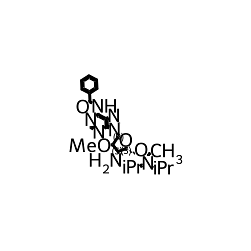 COC1[C@@H](N)[C@@H](COC(C)N(C(C)C)C(C)C)O[C@H]1n1cnc2c(NC(=O)c3ccccc3)ncnc21